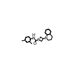 Cc1ccc(NC(=O)N2CC(N3CCCc4ccccc43)C2)c(C)c1